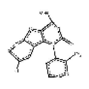 CNc1nc(=O)n(-c2cccnc2C(F)(F)F)c2c1oc1ccc(Cl)cc12